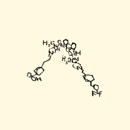 Cn1c(C(=O)Nc2cccc(-c3cccc(NC(=O)c4nc5c(n4C)CCN(CCC46CCC(C(=O)O)(CC4)C6)C5)c3Cl)c2F)nc2c1CCN(CCC13CCC(COC(F)F)(CC1)C3)C2